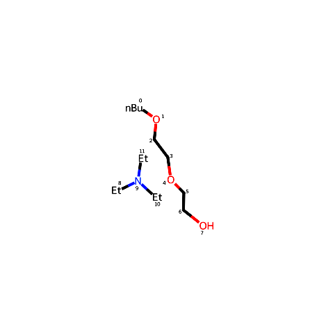 CCCCOCCOCCO.CCN(CC)CC